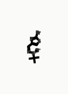 CC(C)(C)[S+]([O-])/N=C\c1csc(Br)n1